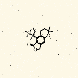 CC[C@](C)(c1c2c(cc3c1C(=O)OC3)OC(C)(C)CC2)[Si](C)(C)C